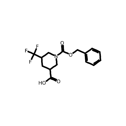 O=C(O)C1CC(C(F)(F)F)CN(C(=O)OCc2ccccc2)C1